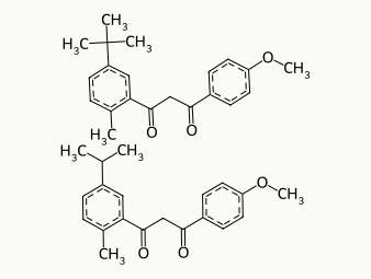 COc1ccc(C(=O)CC(=O)c2cc(C(C)(C)C)ccc2C)cc1.COc1ccc(C(=O)CC(=O)c2cc(C(C)C)ccc2C)cc1